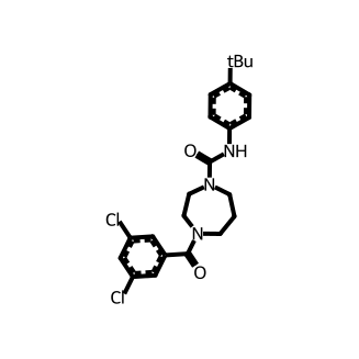 CC(C)(C)c1ccc(NC(=O)N2CCCN(C(=O)c3cc(Cl)cc(Cl)c3)CC2)cc1